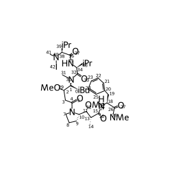 CC[C@H](C)[C@@H]([C@@H](CC(=O)N1CCC[C@H]1[C@H](OC)[C@@H](C)C(=O)N[C@@H](Cc1ccccc1)C(=O)NC)OC)N(C)C(=O)[C@@H](NC(=O)[C@H](C(C)C)N(C)I)C(C)C